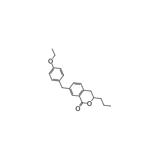 CCCC1Cc2ccc(Cc3ccc(OCC)cc3)cc2C(=O)O1